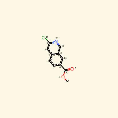 COC(=O)c1ccc2cc(Cl)ncc2c1